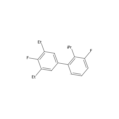 CCc1cc(-c2[c]ccc(F)c2C(C)C)cc(CC)c1F